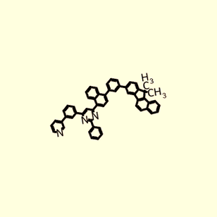 CC1(C)c2ccc(-c3cccc(-c4ccc(-c5cc(-c6cccc(-c7cccnc7)c6)nc(-c6ccccc6)n5)c5ccccc45)c3)cc2-c2ccc3ccccc3c21